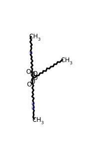 CCCCC/C=C/C=C/CCCCCCCCC(=O)OCC(COC(=O)CCCCCCCC/C=C/CCCCCCC)OC(=O)CCCCCCCCCCCCCCC